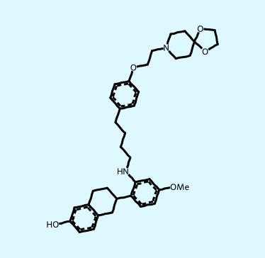 COc1ccc(C2CCc3cc(O)ccc3C2)c(NCCCCc2ccc(OCCN3CCC4(CC3)OCCO4)cc2)c1